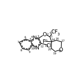 FC(F)(F)C(Oc1nc2ccccc2nc1Cl)C1(F)CCOCC1